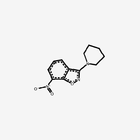 O=[N+]([O-])c1cccc2c(N3CCCCC3)noc12